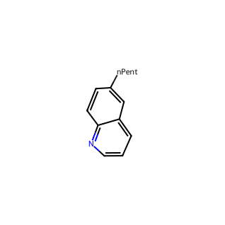 CCCCCc1ccc2ncccc2c1